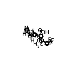 CCN(C)[C@]1(CCc2cccc(C(F)(F)F)c2)CCCN(c2cc(F)c(S(=O)(=O)Nc3ccncn3)c(F)c2)C1.O=CO